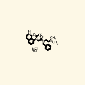 CN(C)CCN(Cc1ccccc1)C(=O)CN(C(=O)C(F)(F)F)c1cccc2c1CNCC2.Cl.Cl